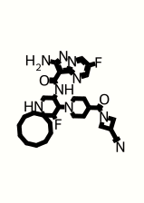 N#CC1CN(C(=O)C2CCN(C3C(NC(=O)c4c(N)nn5cc(F)cnc45)CNC4(CCCCCCCCC4)C3F)CC2)C1